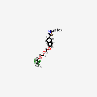 CCCCCCc1ncc(-c2ccc3cc(OCCOCCOCC(F)(F)C(F)(F)C(F)(F)F)ccc3c2)s1